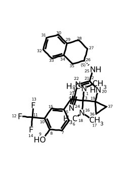 CN(C)C(Cc1ccc(O)c(C(F)(F)F)c1)(N(C)C)C1(NC(=NC#N)N[C@H]2CCc3ccccc3C2)CC1